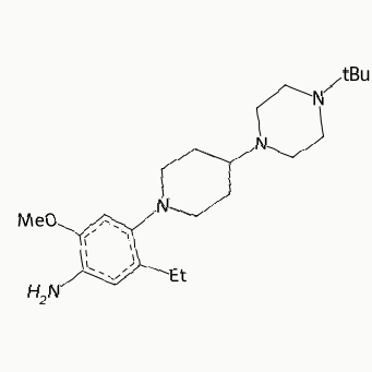 CCc1cc(N)c(OC)cc1N1CCC(N2CCN(C(C)(C)C)CC2)CC1